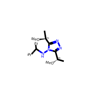 CCC(Nn1c([C@H](C)OC)nnc1[C@H](C)OC)C(C)C